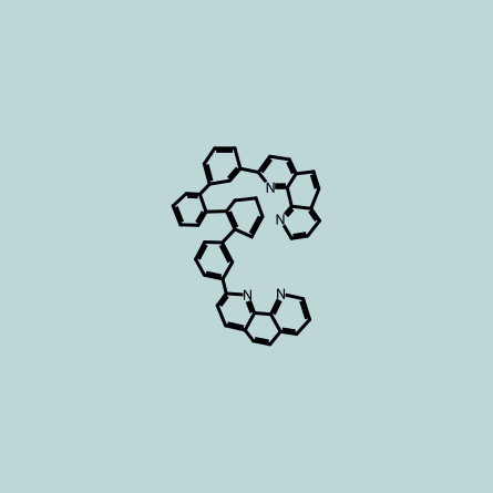 C1=CC(c2cccc(-c3ccc4ccc5cccnc5c4n3)c2)=C(c2ccccc2-c2cccc(-c3ccc4ccc5cccnc5c4n3)c2)CC1